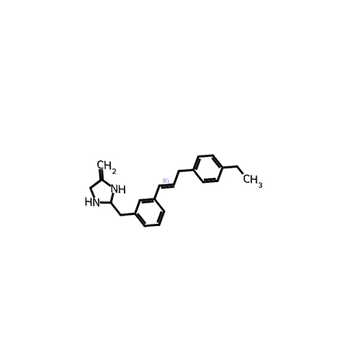 C=C1CNC(Cc2cccc(/C=C/Cc3ccc(CC)cc3)c2)N1